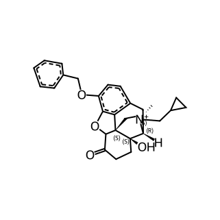 C[N@@+]1(CC2CC2)CC[C@]23c4c5ccc(OCc6ccccc6)c4OC2C(=O)CC[C@@]3(O)[C@H]1C5